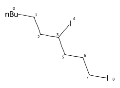 CCCCCCC(I)CCCI